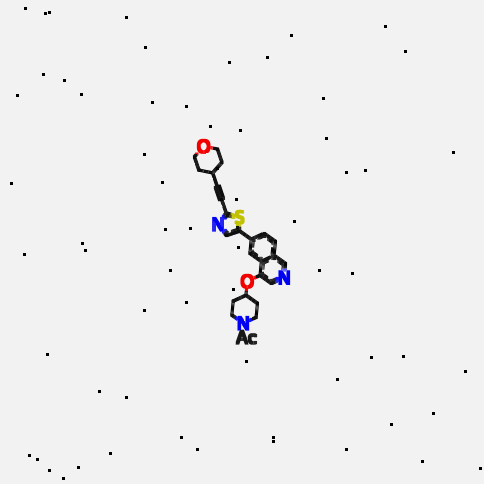 CC(=O)N1CCC(Oc2cncc3ccc(-c4cnc(C#CC5CCOCC5)s4)cc23)CC1